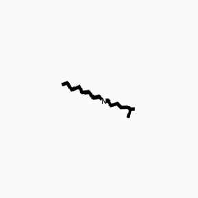 CCCCCCCCN=CCCCCC(C)C